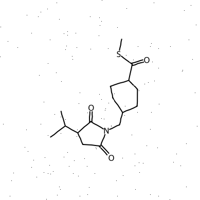 CSC(=O)C1CCC(CN2C(=O)CC(C(C)C)C2=O)CC1